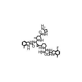 CNC(=O)C(NC(=O)C1Cc2c(F)ccc(C)c2N1)C1CCCC(C2CC2C(NC(=O)C2Cc3cccc(C)c3N2)C2NCC(C(=O)NC3CC[C@@H]3N)CC2C)N1